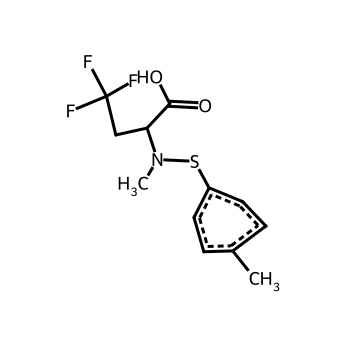 Cc1ccc(SN(C)C(CC(F)(F)F)C(=O)O)cc1